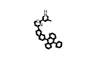 CC1=CC(c2cccc(-c3ccc4ccc(-c5c6ccccc6c(-c6ccccc6)c6ccccc56)cc4c3)n2)=CNC1